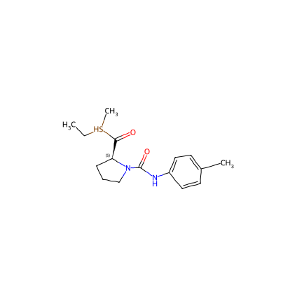 CC[SH](C)C(=O)[C@@H]1CCCN1C(=O)Nc1ccc(C)cc1